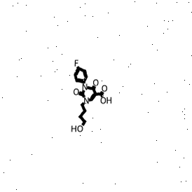 O=C(O)c1cn(CCCCO)c(=O)n(-c2ccc(F)cc2)c1=O